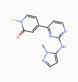 Cn1nccc1Nc1nccc(-c2ccn(F)c(=O)c2)n1